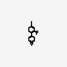 CN1CC=C(C2=C(F)C=C(I)CC2)CC1